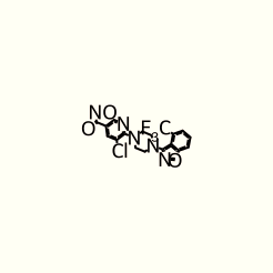 O=NC(=O)c1cnc(N2CCN(c3noc4cccc(C(F)(F)F)c34)CC2)c(Cl)c1